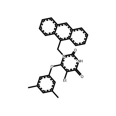 CCc1c(Oc2cc(C)cc(C)c2)n(Cc2c3ccccc3cc3ccccc23)c(=O)[nH]c1=O